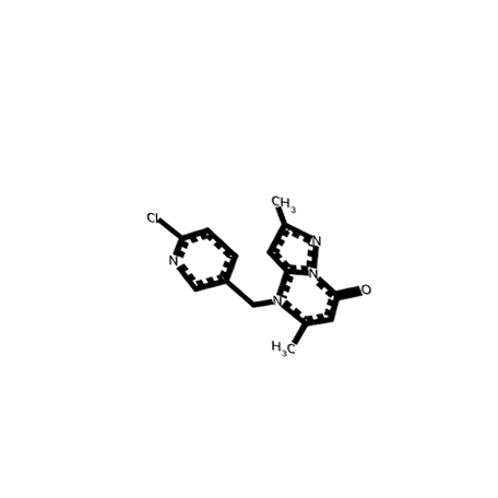 Cc1cc2n(Cc3ccc(Cl)nc3)c(C)cc(=O)n2n1